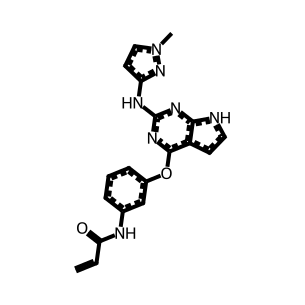 C=CC(=O)Nc1cccc(Oc2nc(Nc3ccn(C)n3)nc3[nH]ccc23)c1